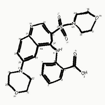 O=C(O)c1ccccc1Nc1c(S(=O)(=O)N2CCOCC2)cnc2ccc(N3CCOCC3)cc12